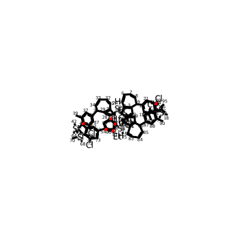 CCC1=CC2=C(C=CC=CC2c2cc(C)c([Si](C)(C)C)c(Cl)c2)[C]12[SiH](C)[C]1(C(CC)=CC3=C1C=CC=CC3c1cc(C)c([Si](C)(C)C)c(Cl)c1)[Hf]21([Cl])([Cl])[C]2(C(CC)=CC3=C2C=CC=CC3c2cc(C)c([Si](C)(C)C)c(Cl)c2)[SiH](C)[C]12C(CC)=CC1=C2C=CC=CC1c1cc(C)c([Si](C)(C)C)c(Cl)c1